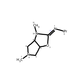 CC(C)/N=C1\OC2CN(C)CC2N1C